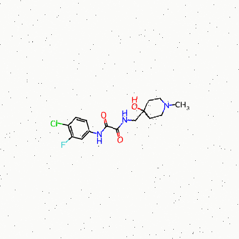 CN1CCC(O)(CNC(=O)C(=O)Nc2ccc(Cl)c(F)c2)CC1